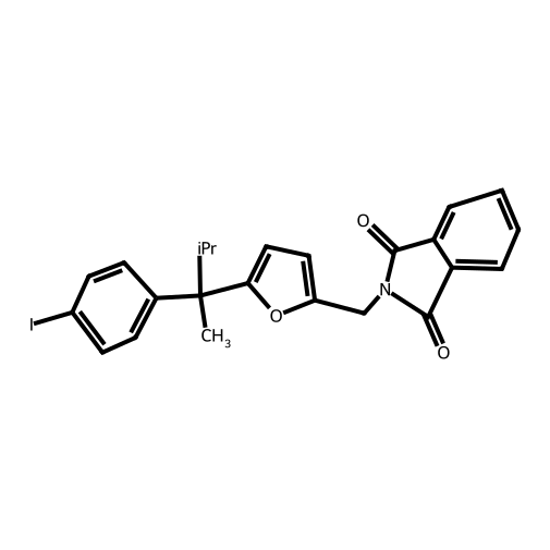 CC(C)C(C)(c1ccc(I)cc1)c1ccc(CN2C(=O)c3ccccc3C2=O)o1